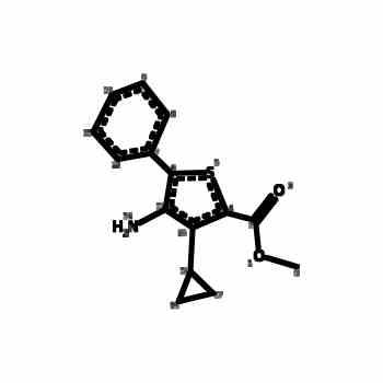 COC(=O)c1sc(-c2ccccc2)c(N)c1C1CC1